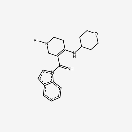 CC(=O)N1CCC(NC2CCOCC2)=C(C(=N)n2ccc3ccccc32)C1